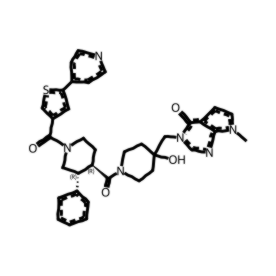 Cn1ccc2c(=O)n(CC3(O)CCN(C(=O)[C@@H]4CCN(C(=O)c5csc(-c6ccncc6)c5)C[C@H]4c4ccccc4)CC3)cnc21